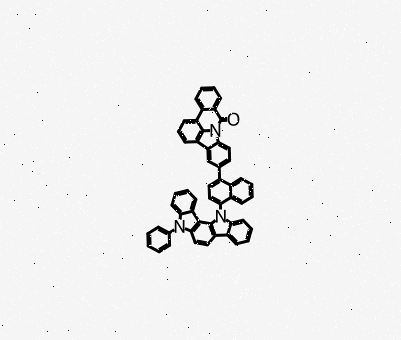 O=c1c2ccccc2c2cccc3c4cc(-c5ccc(-n6c7ccccc7c7ccc8c(c9ccccc9n8-c8ccccc8)c76)c6ccccc56)ccc4n1c23